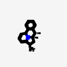 CC(C)C1C[C@]2(C)[C@@H](C)c3ccccc3C3C=CC=C1N32